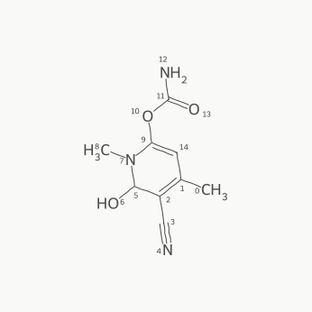 CC1=C(C#N)C(O)N(C)C(OC(N)=O)=C1